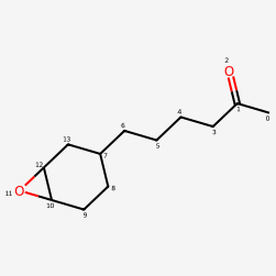 CC(=O)CCCCC1CCC2OC2C1